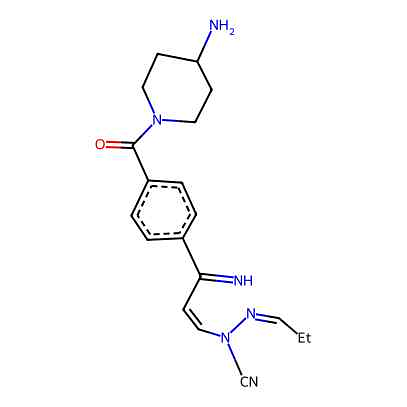 CC/C=N\N(C#N)/C=C\C(=N)c1ccc(C(=O)N2CCC(N)CC2)cc1